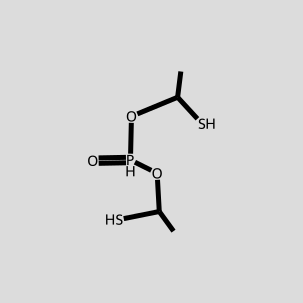 CC(S)O[PH](=O)OC(C)S